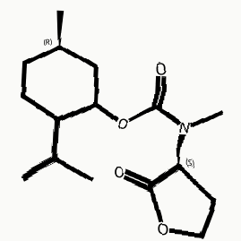 CC(C)C1CC[C@@H](C)CC1OC(=O)N(C)[C@H]1CCOC1=O